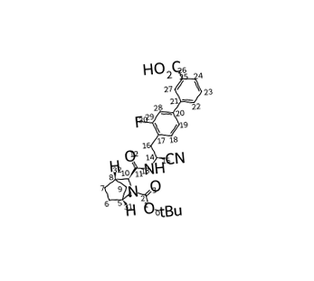 CC(C)(C)OC(=O)N1[C@@H]2CC[C@@H](C2)[C@H]1C(=O)N[C@H](C#N)Cc1ccc(-c2cccc(C(=O)O)c2)cc1F